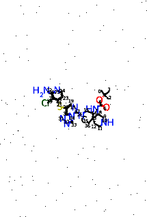 CC(C)(C)OC(=O)NC1CNCCC12CCN(c1ncc(Sc3ccnc(N)c3Cl)c3nncn13)CC2